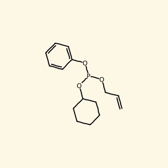 C=CCOP(Oc1ccccc1)OC1CCCCC1